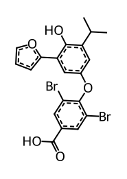 CC(C)c1cc(Oc2c(Br)cc(C(=O)O)cc2Br)cc(-c2ccco2)c1O